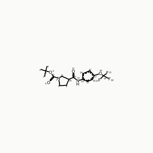 CC(C)(C)OC(=O)N1CCC(C(=O)Nc2ccc(OC(F)(F)F)cc2)C1